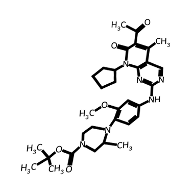 COc1cc(Nc2ncc3c(C)c(C(C)=O)c(=O)n(C4CCCC4)c3n2)ccc1N1CCN(C(=O)OC(C)(C)C)CC1C